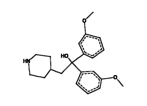 COc1cccc(C(O)(CC2CCNCC2)c2cccc(OC)c2)c1